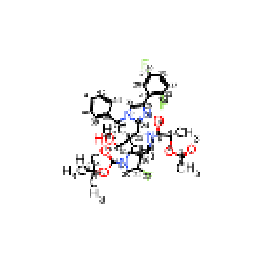 CC(=O)O[C@@H](C)C(=O)N(CC1CN(C(=O)OC(C)(C)C)CC1F)[C@@H](c1nc(-c2cc(F)ccc2F)cn1Cc1ccccc1)C(C)(C)CO